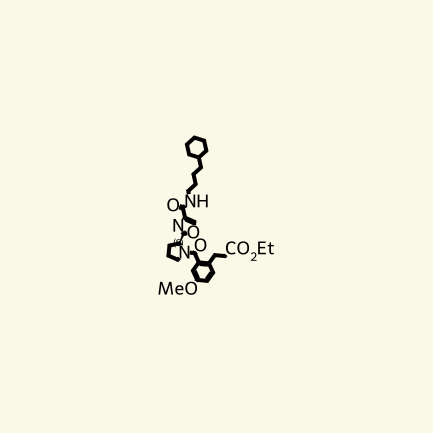 CCOC(=O)CCc1ccc(OC)cc1C(=O)N1CCC[C@H]1c1nc(C(=O)NCCCCC2CCCCC2)co1